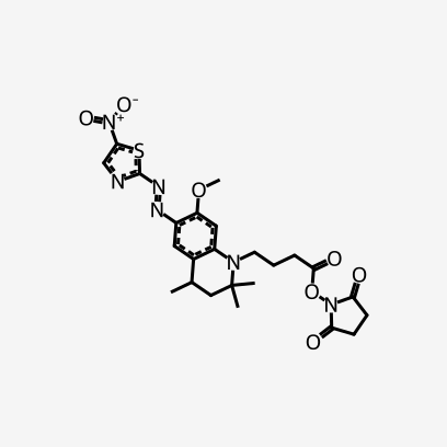 COc1cc2c(cc1N=Nc1ncc([N+](=O)[O-])s1)C(C)CC(C)(C)N2CCCC(=O)ON1C(=O)CCC1=O